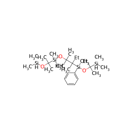 CCC(C)(O[Si](C)(c1ccccc1)C(C)(CC)C(C)(C)O[Si](C)(C)C(C)(C)O[SiH](C)C)[SiH](C)C